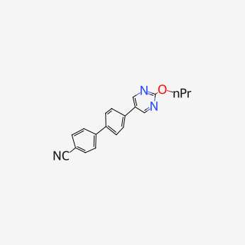 CCCOc1ncc(-c2ccc(-c3ccc(C#N)cc3)cc2)cn1